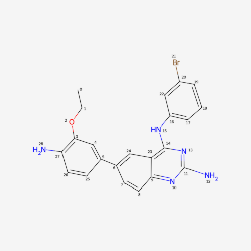 CCOc1cc(-c2ccc3nc(N)nc(Nc4cccc(Br)c4)c3c2)ccc1N